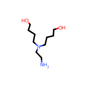 NCCN(CCCCO)CCCCO